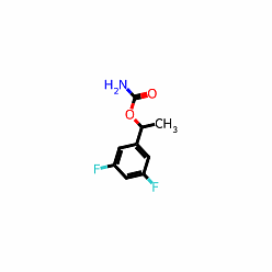 CC(OC(N)=O)c1cc(F)cc(F)c1